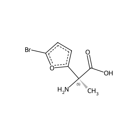 C[C@@](N)(C(=O)O)c1ccc(Br)o1